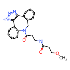 COCCC(=O)NCCC(=O)N1Cc2ccccc2-c2nn[nH]c2-c2ccccc21